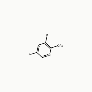 CC(=O)Oc1ncc(F)cc1F